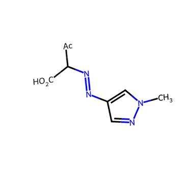 CC(=O)C(N=Nc1cnn(C)c1)C(=O)O